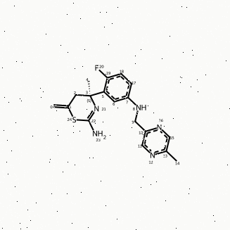 C=C1C[C@@](C)(c2cc(NCc3cnc(C)cn3)ccc2F)N=C(N)S1